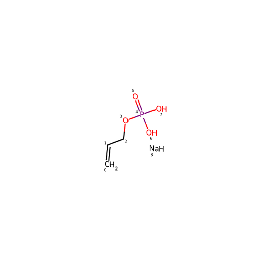 C=CCOP(=O)(O)O.[NaH]